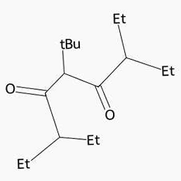 CCC(CC)C(=O)C(C(=O)C(CC)CC)C(C)(C)C